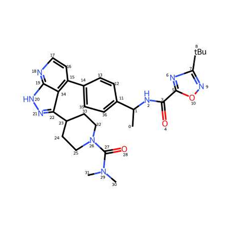 CC(NC(=O)c1nc(C(C)(C)C)no1)c1ccc(-c2ccnc3[nH]nc(C4CCN(C(=O)N(C)C)CC4)c23)cc1